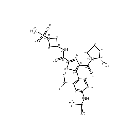 CC[C@H](Nc1cc(C(F)F)c(-c2sc(C(=O)NC3CN(S(C)(=O)=O)C3)nc2C(=O)N2CCC[C@@H]2C)cn1)C(F)(F)F